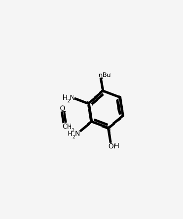 C=O.CCCCc1ccc(O)c(N)c1N